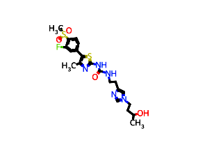 Cc1nc(NC(=O)NCCc2cn(CCC(C)O)cn2)sc1-c1ccc(S(C)(=O)=O)c(F)c1